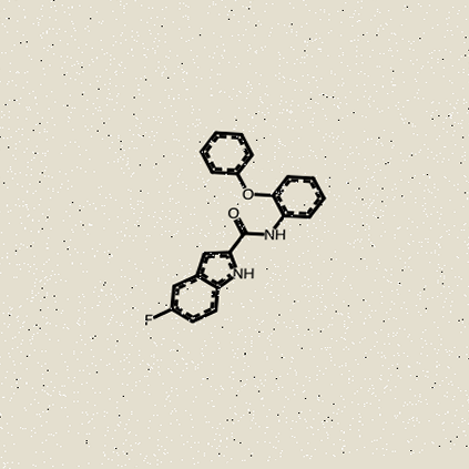 O=C(Nc1ccccc1Oc1ccccc1)c1cc2cc(F)ccc2[nH]1